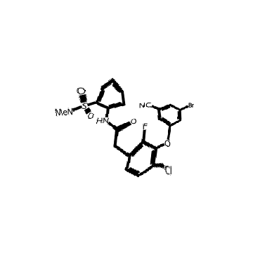 CNS(=O)(=O)c1ccccc1NC(=O)Cc1ccc(Cl)c(Oc2cc(Br)cc(C#N)c2)c1F